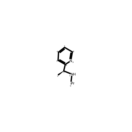 CC(C)N[C@@H](C)c1ccccn1